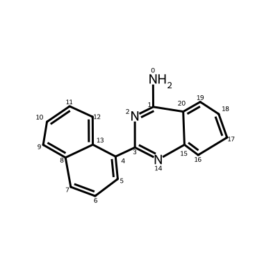 Nc1nc(-c2cccc3ccccc23)nc2ccccc12